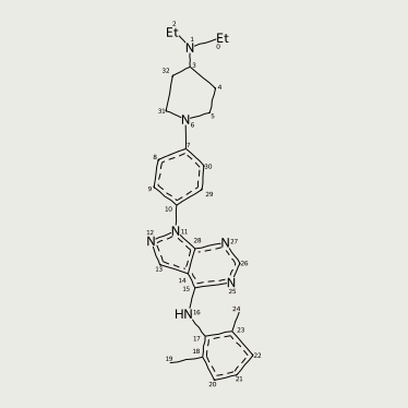 CCN(CC)C1CCN(c2ccc(-n3ncc4c(Nc5c(C)cccc5C)ncnc43)cc2)CC1